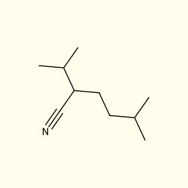 CC(C)CCC(C#N)C(C)C